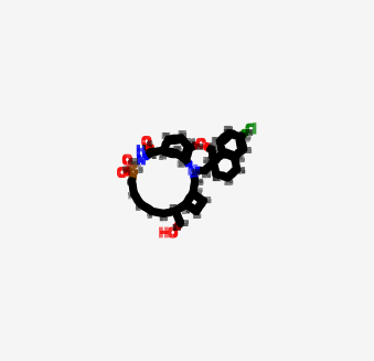 O=C1NS(=O)(=O)CCCCCC(CO)C2CCC2CN2CC3(CCCc4cc(Cl)ccc43)COc3ccc1cc32